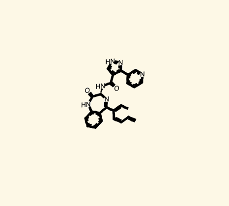 C=C/C=C\C(=C/C)C1=N[C@H](NC(=O)c2c[nH]nc2-c2cccnc2)C(=O)Nc2ccccc21